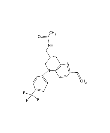 C=Cc1ccc2c(n1)CC(CNC(C)=O)CN2c1ccc(C(F)(F)F)cc1